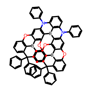 c1ccc(N2c3cccc4c3B(c3c2cc2c5c3Oc3cccc6c3B5c3c(cccc3C6(c3ccccc3)c3ccccc3)O2)c2c(cc3c5c2Oc2cccc6c2B5c2c(cccc2C6(c2ccccc2)c2ccccc2)O3)N4c2ccccc2)cc1